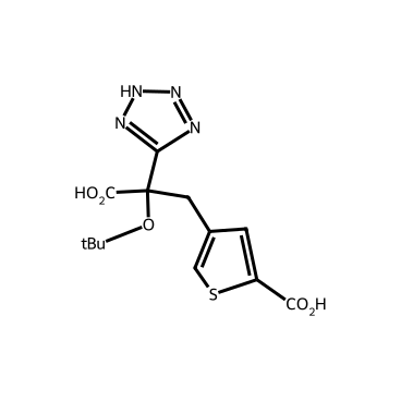 CC(C)(C)OC(Cc1csc(C(=O)O)c1)(C(=O)O)c1nn[nH]n1